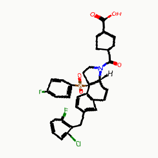 O=C(O)C1CCC(C(=O)N2CC[C@@]3(S(=O)(=O)c4ccc(F)cc4)c4ccc(Cc5c(F)cccc5Cl)cc4CC[C@@H]23)CC1